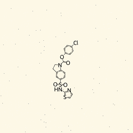 O=C(Oc1ccc(Cl)cc1)N1CCc2cc(S(=O)(=O)Nc3nccs3)ccc21